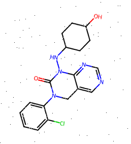 O=C1N(c2ccccc2Cl)Cc2cncnc2N1NC1CCC(O)CC1